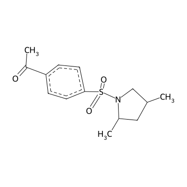 CC(=O)c1ccc(S(=O)(=O)N2CC(C)CC2C)cc1